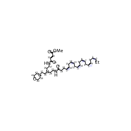 CC/C=C\C/C=C\C/C=C\C/C=C\C/C=C\C/C=C\CCC(=O)NCCN(CCNC(=O)C=CC(=O)OC)CCN1CCOCC1